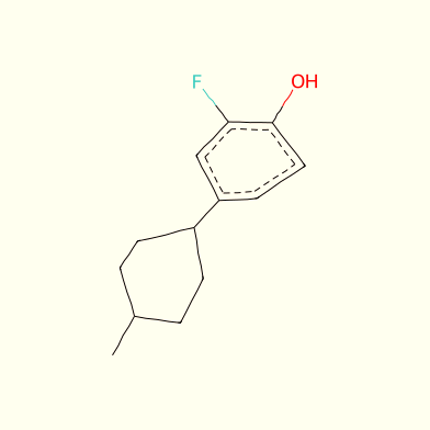 CC1CCC(c2ccc(O)c(F)c2)CC1